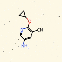 N#Cc1cc(N)cnc1OC1CC1